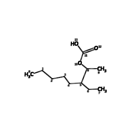 CCCCCC(CC)C(C)OC(=O)O